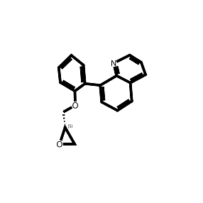 c1ccc(-c2cccc3cccnc23)c(OC[C@@H]2CO2)c1